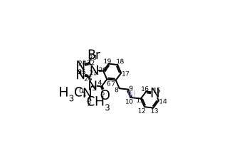 CN(C)n1c(=O)c2c(C/C=C/c3cccnc3)cccc2n2c(Br)nnc12